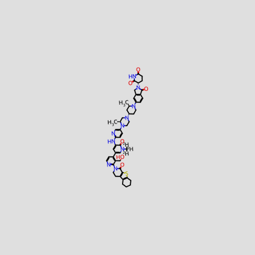 [2H]C([2H])([2H])n1cc(-c2ccnc(N3CCc4c(sc5c4CCCC5)C3=O)c2CO)cc(Nc2ccc(N3CCN([C@H]4CCN(c5ccc6c(c5)CN([C@H]5CCC(=O)NC5=O)C6=O)[C@H](C)C4)C[C@@H]3C)cn2)c1=O